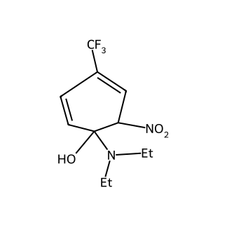 CCN(CC)C1(O)C=CC(C(F)(F)F)=CC1[N+](=O)[O-]